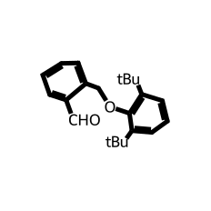 CC(C)(C)c1cccc(C(C)(C)C)c1OCc1ccccc1C=O